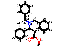 COC(=O)C(C)C(c1ccccc1)N(Cc1ccccc1)[C@H](C)c1ccccc1